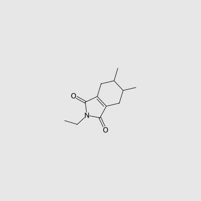 CCN1C(=O)C2=C(CC(C)C(C)C2)C1=O